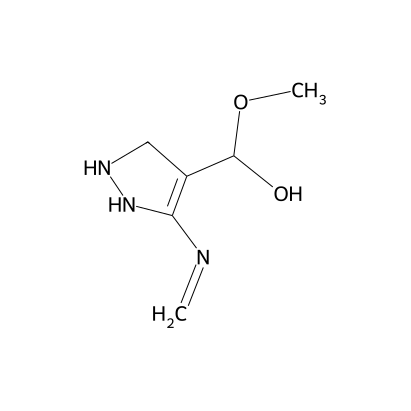 C=NC1=C(C(O)OC)CNN1